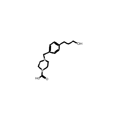 O=C(O)N1CCN(Cc2ccc(CCCO)cc2)CC1